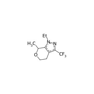 CCn1nc(C(F)(F)F)c2c1C(C)OCC2